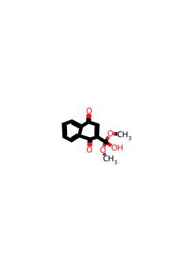 COC(O)(OC)C1=CC(=O)c2ccccc2C1=O